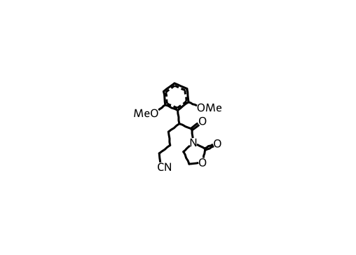 COc1cccc(OC)c1C(CCCC#N)C(=O)N1CCOC1=O